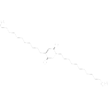 CCCCCCCCCCCCC1=CC(=O)C(CCCCCCCCCCCC)CC1=O